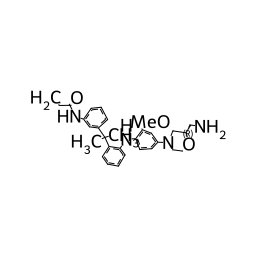 C=CC(=O)Nc1cccc(C(C)(C)c2ccccc2Nc2ccc(N3CCO[C@H](CN)C3)cc2OC)c1